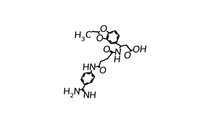 CCC1Oc2ccc(C(CC(=O)O)NC(=O)CCC(=O)Nc3ccc(C(=N)N)cc3)cc2O1